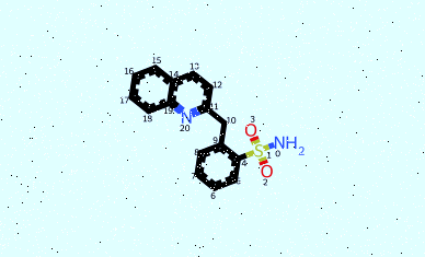 NS(=O)(=O)c1ccccc1Cc1ccc2ccccc2n1